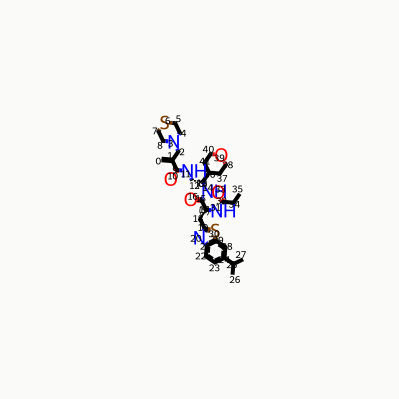 C=C(CN1CCSCC1)C(=O)NC[C@@H](NC(=O)[C@H](Cc1nc2ccc(C(C)C)cc2s1)NC(=O)CC)C1CCOCC1